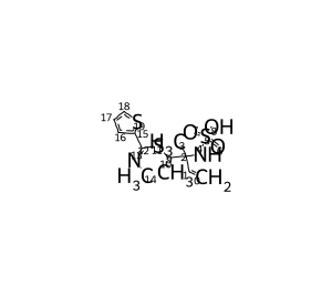 C=CC(C)(NS(=O)(=O)O)[C@H](C)S/C(=N\C)c1cccs1